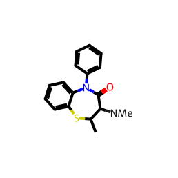 CNC1C(=O)N(c2ccccc2)c2ccccc2SC1C